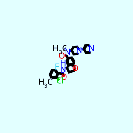 Cc1ccc(F)c(C(=O)NC2CCOc3ccc(C(=O)N(C)C4CCN(c5ccncc5)CC4)cc32)c1Cl